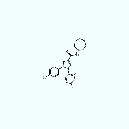 CCC1=CCC(C2CC(C(=O)NN3CCCCCC3)=NN2c2ccc(Cl)cc2Cl)C=C1